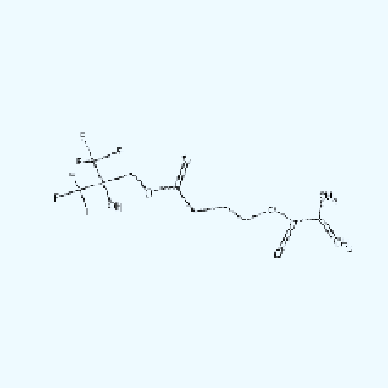 C=C(C)C(=O)OCCCC(=O)OCC(O)(C(F)(F)F)C(F)(F)F